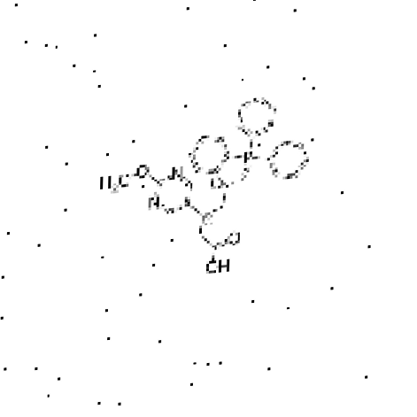 COc1ncc([C@H](CC(=O)O)CC(=O)C=P(c2ccccc2)(c2ccccc2)c2ccccc2)cn1